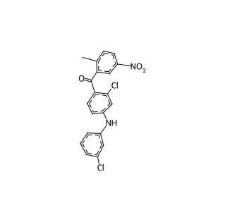 Cc1ccc([N+](=O)[O-])cc1C(=O)c1ccc(Nc2cccc(Cl)c2)cc1Cl